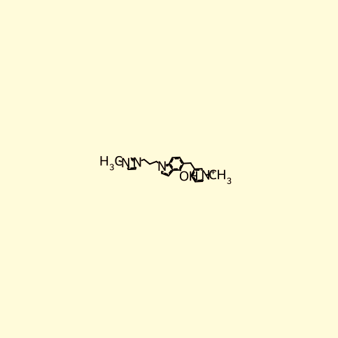 C[n+]1cccc(Cc2ccc3c(ccn3CCCn3cc[n+](C)c3)c2O)c1